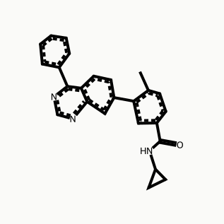 Cc1ccc(C(=O)NC2CC2)cc1-c1ccc2c(-c3ccccc3)ncnc2c1